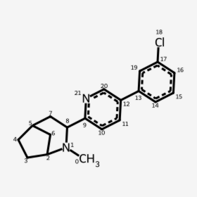 CN1C2CCC(C2)CC1c1ccc(-c2cccc(Cl)c2)cn1